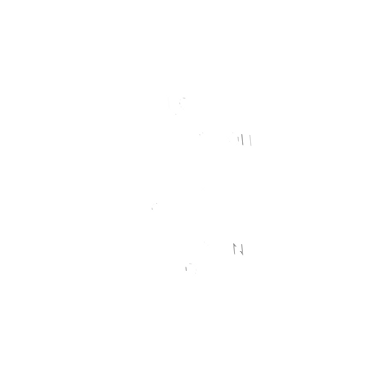 C=C(O)CCC(C)C(=O)N(c1ccccc1)C1CCCCC1